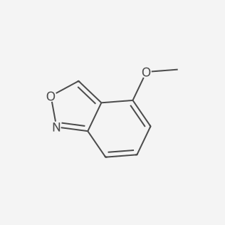 COc1cccc2nocc12